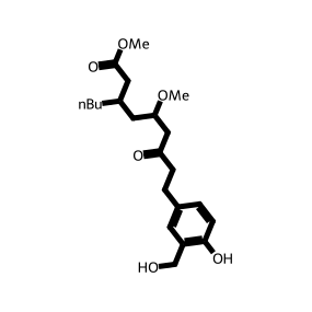 CCCCC(CC(=O)OC)CC(CC(=O)CCc1ccc(O)c(CO)c1)OC